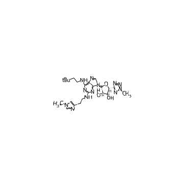 Cn1cnc(CCNc2nc(NCCC(C)(C)C)c3ncn([C@@H]4O[C@H](c5nnn(C)n5)[C@@H](O)[C@H]4O)c3n2)c1